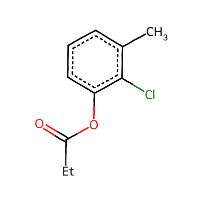 CCC(=O)Oc1cccc(C)c1Cl